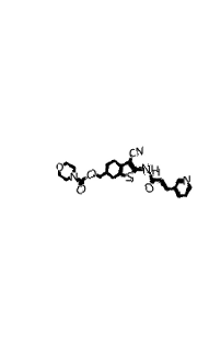 N#Cc1c(NC(=O)/C=C/c2cccnc2)sc2c1CCC(COC(=O)N1CCOCC1)C2